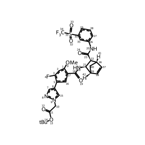 COc1cc(F)c(-c2cnn(CC(=O)OC(C)(C)C)c2)cc1C(=O)N[C@H]1[C@@H](C(=O)Nc2cccc(S(=O)(=O)C(F)(F)F)c2)[C@@H]2C=C[C@H]1C2